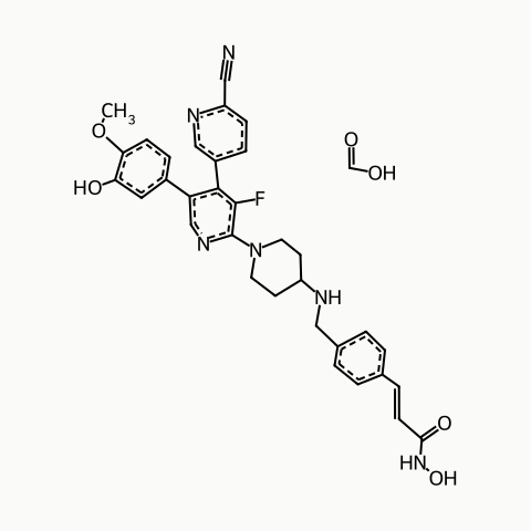 COc1ccc(-c2cnc(N3CCC(NCc4ccc(/C=C/C(=O)NO)cc4)CC3)c(F)c2-c2ccc(C#N)nc2)cc1O.O=CO